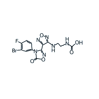 O=C(O)NCCNc1nonc1-c1noc(=O)n1-c1ccc(F)c(Br)c1